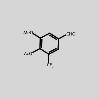 COc1cc(C=O)cc(C(F)(F)F)c1OC(C)=O